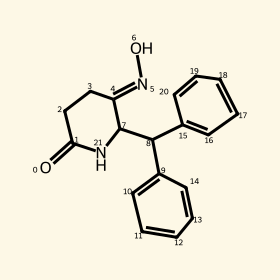 O=C1CC/C(=N\O)C(C(c2ccccc2)c2ccccc2)N1